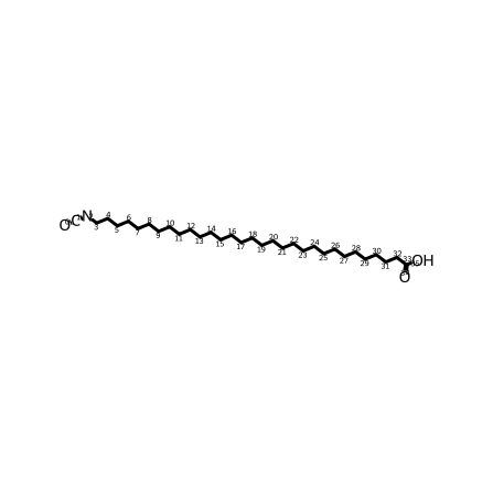 O=C=NCCCCCCCCCCCCCCCCCCCCCCCCCCCCCCC(=O)O